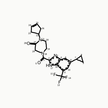 O=C(c1nc2cc(C3CC3)cc(C(F)(F)F)c2[nH]1)N1CCN(C2CC=CC2)C(=O)C1